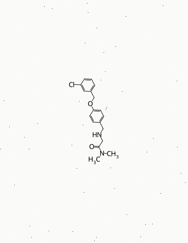 CN(C)C(=O)CNCc1ccc(OCc2cccc(Cl)c2)cc1